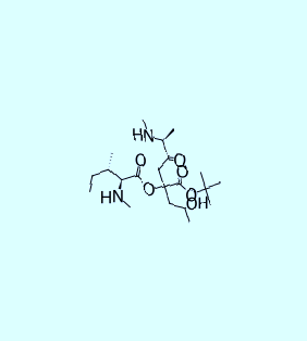 CC[C@H](C)[C@H](NC)C(=O)OC(CC(=O)[C@H](C)NC)(CC(C)O)C(=O)OC(C)(C)C